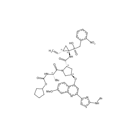 C=C[C@@H]1C[C@]1(NC(=O)[C@@H]1C[C@@H](Oc2cc(-c3csc(NC(C)C)n3)nc3cc(OC)ccc23)CN1C(=O)[C@@H](NC(=O)OC1CCCC1)C(C)(C)C)P(=O)(O)Cc1ccccc1[N+](=O)[O-]